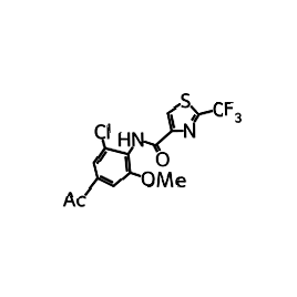 COc1cc(C(C)=O)cc(Cl)c1NC(=O)c1csc(C(F)(F)F)n1